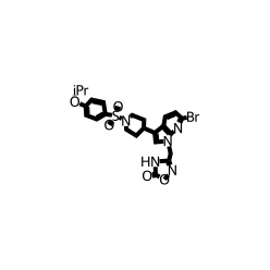 CC(C)Oc1ccc(S(=O)(=O)N2CCC(c3cn(Cc4noc(=O)[nH]4)c4nc(Br)ccc34)CC2)cc1